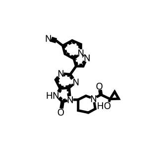 N#Cc1ccn2ncc(-c3ncc4[nH]c(=O)n(C5CCCN(C(=O)C6(O)CC6)C5)c4n3)c2c1